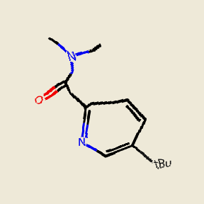 CN(C)C(=O)c1ccc(C(C)(C)C)cn1